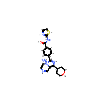 N[N+]12C=CN=CC1=C(C1CCOCC1)N=C2c1ccc(C(=O)Nc2nccs2)cc1